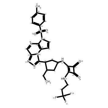 CCC1CC(Nc2c(NCCC(F)(F)F)c(=O)c2=O)CC1c1nnc2cnc3c(ccn3S(=O)(=O)c3ccc(C)cc3)n12